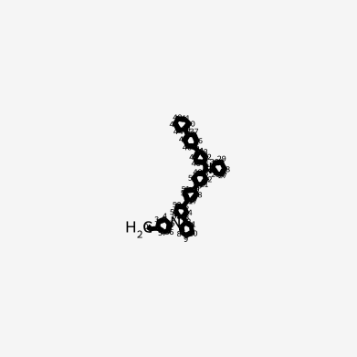 C=Cc1ccc(-n2c3ccccc3c3cc(-c4ccc(-c5ccc(N(c6ccccc6)c6ccc(-c7ccc(-c8ccccc8)cc7)cc6)cc5)cc4)ccc32)cc1